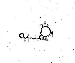 CC1OC(=O)c2c(O)cc(OCCCNC(=O)Nc3ccccc3)cc2/C=C/CC(O)[C@H](O)C(=O)/C=C\C12C=C2